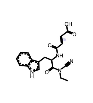 CCN(C#N)C(=O)C(Cc1c[nH]c2ccccc12)NC(=O)/C=C/C(=O)O